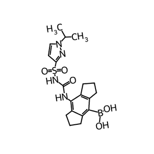 CC(C)n1ccc(S(=O)(=O)NC(=O)Nc2c3c(c(B(O)O)c4c2CCC4)CCC3)n1